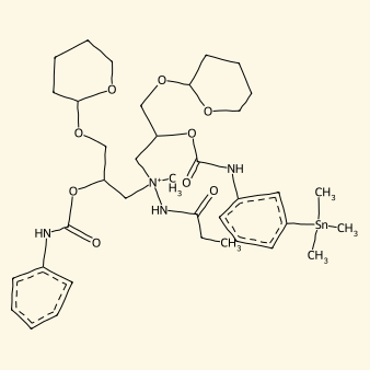 CCC(=O)N[N+](C)(CC(COC1CCCCO1)OC(=O)Nc1ccccc1)CC(COC1CCCCO1)OC(=O)Nc1ccc[c]([Sn]([CH3])([CH3])[CH3])c1